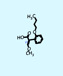 CCCCOc1ccccc1/C(=C\OC)C(=O)O